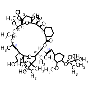 COC1CC(/C=C(\C)[C@H]2OC(=O)C3CCCCN3C(=O)C(=O)C3(O)O[C@@H]([C@@H](OC)CC3C)[C@@H](OC)C[C@@H](C)C/C(C)=C/[C@@H](CCO)C(=O)CC(CC(C)(C)[Si](C)(C)O)[C@H]2C)CCC1O[Si](C)(C)C(C)(C)C